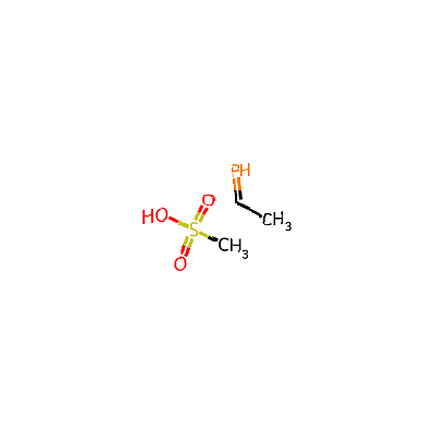 CC=P.CS(=O)(=O)O